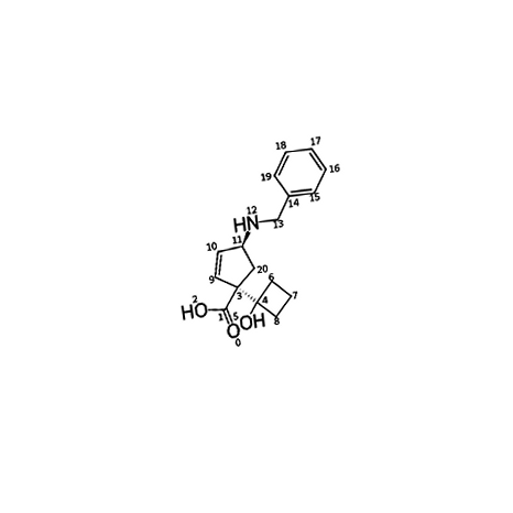 O=C(O)[C@@]1(C2(O)CCC2)C=C[C@@H](NCc2ccccc2)C1